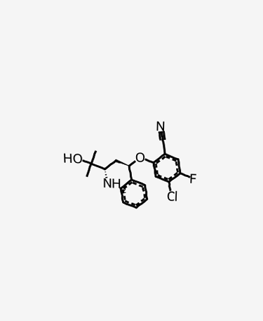 CC(C)(O)[C@@H](N)C[C@@H](Oc1cc(Cl)c(F)cc1C#N)c1ccccc1